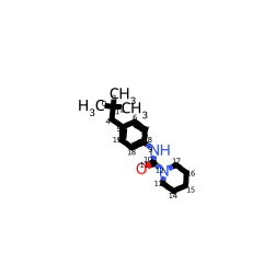 CC(C)(C)Cc1ccc(NC(=O)N2CCCCC2)cc1